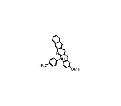 COc1cccc(Sc2nc3cc4ccccc4cc3nc2Nc2ccc(C(F)(F)F)cc2)c1